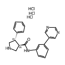 Cl.Cl.Cl.O=C(Nc1cccc(-c2cncnc2)c1)[C@H]1CNC[C@@H]1c1ccccc1